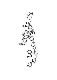 CC(C)Oc1ccccc1[C@H]1CN(Cc2ccc(N3CCOCC3)nc2)CCN1C1CC2(CCN(c3ccc(C(=O)NS(=O)(=O)c4ccc(NCC5CCC(C)(O)CC5)c([N+](=O)[O-])c4)c(N4c5cc6cc[nH]c6nc5O[C@H]5COCC[C@@H]54)c3)CC2)C1